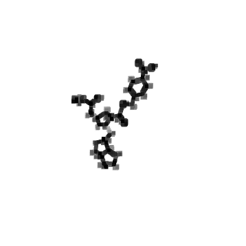 CC(=O)S[C@H]1C[C@@H](CN2CCn3nccc32)N(C(=O)OCc2ccc([N+](=O)[O-])cc2)C1